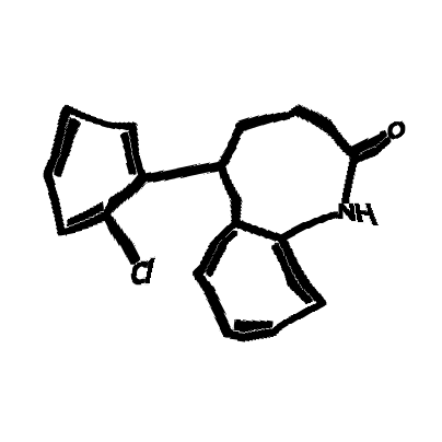 O=C1CCC(c2ccccc2Cl)c2ccccc2N1